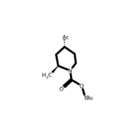 CC(=O)[C@@H]1CCN(C(=O)OC(C)(C)C)[C@@H](C)C1